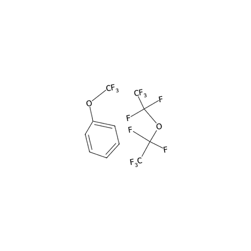 FC(F)(F)C(F)(F)OC(F)(F)C(F)(F)F.FC(F)(F)Oc1ccccc1